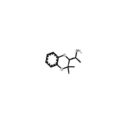 CC(N)C1Oc2ccccc2OC1(C)C